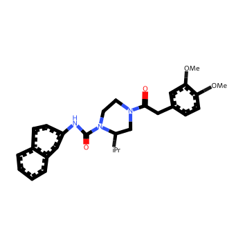 COc1ccc(CC(=O)N2CCN(C(=O)Nc3ccc4ccccc4c3)C(C(C)C)C2)cc1OC